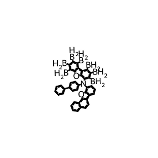 Bc1c(B)c(B)c2c(oc3c(N(c4ccc(-c5ccccc5)cc4)c4cccc5c4oc4c6ccccc6ccc54)c(B)c(B)c(B)c32)c1B